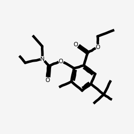 CCOC(=O)c1cc(C(C)(C)C)cc(C)c1OC(=O)N(CC)CC